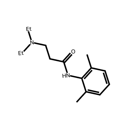 CCN(CC)CCC(=O)Nc1c(C)cccc1C